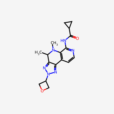 CC1c2nn(C3COC3)nc2-c2ccnc(NC(=O)C3CC3)c2N1C